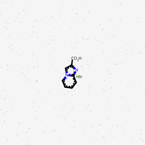 Br.O=C(O)c1cn2ccccc2n1